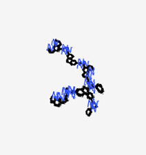 c1ccc(-c2ncnc(-c3ccc4c(-c5nc(-c6ccccc6)nc(-c6ccc7cc(-c8ncnc(-c9ccc%10ccc%11cc(-c%12ncnc(-c%13cc%14cccnc%14c%14ncccc%13%14)n%12)ccc%11c%10c9)n8)c8cccnc8c7n6)n5)cc5cc(-c6ncnc(-c7ccc8ccc9cccnc9c8n7)n6)ccc5c4c3)n2)cc1